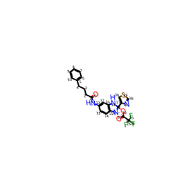 O=C(CCCc1ccccc1)Nc1ccc2c(c1)NC(OC(=O)C(F)(F)F)(c1cscn1)[N]2